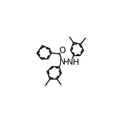 Cc1ccc(NN(C(=O)c2ccccc2)c2ccc(C)c(C)c2)cc1C